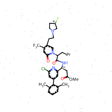 COC(=O)C[C@H](NC(=O)C(CC(C)C)n1cc(CCN2CC[C@@H](F)C2)c(C(F)(F)F)cc1=O)c1cc(-c2c(C)cccc2C)cc(Cl)n1